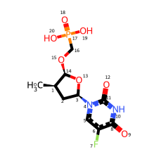 C[C@@H]1C[C@H](n2cc(F)c(=O)[nH]c2=O)O[C@@H]1OCP(=O)(O)O